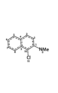 CNc1ccc2ccccc2c1Cl